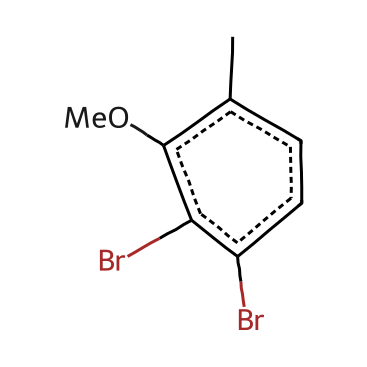 COc1c(C)ccc(Br)c1Br